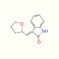 O=C1Nc2ccccc2/C1=C\C1CCCO1